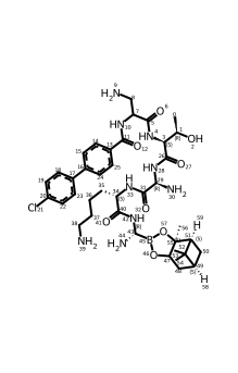 C[C@@H](O)[C@H](NC(=O)C(CN)NC(=O)c1ccc(-c2ccc(Cl)cc2)cc1)C(=O)N[C@@H](N)C(=O)N[C@@H](CCCCN)C(=O)N[C@@H](N)B1OC2C[C@@H]3C[C@@H](C3(C)C)[C@]2(C)O1